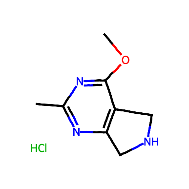 COc1nc(C)nc2c1CNC2.Cl